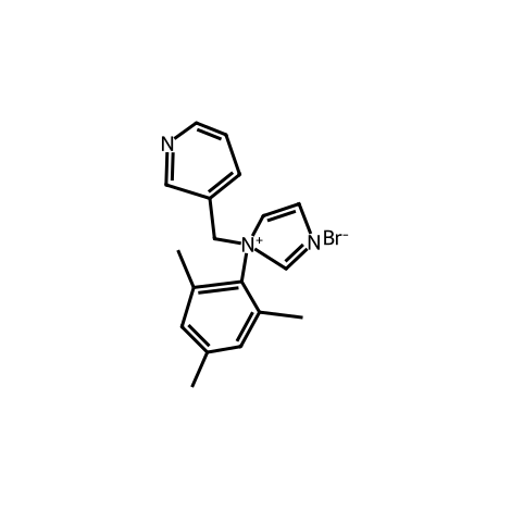 Cc1cc(C)c([N+]2(Cc3cccnc3)C=CN=C2)c(C)c1.[Br-]